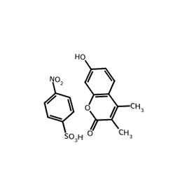 Cc1c(C)c2ccc(O)cc2oc1=O.O=[N+]([O-])c1ccc(S(=O)(=O)O)cc1